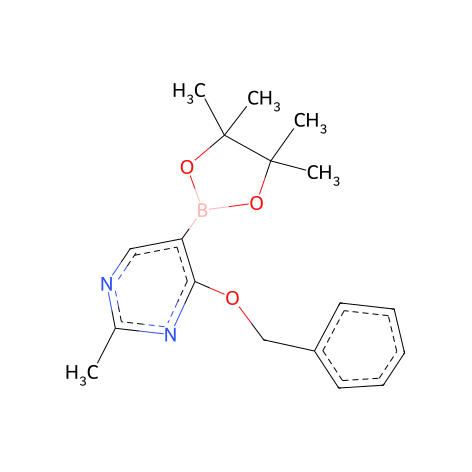 Cc1ncc(B2OC(C)(C)C(C)(C)O2)c(OCc2ccccc2)n1